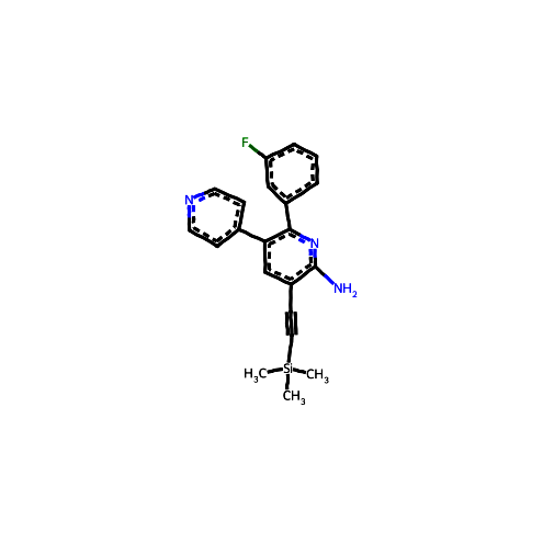 C[Si](C)(C)C#Cc1cc(-c2ccncc2)c(-c2cccc(F)c2)nc1N